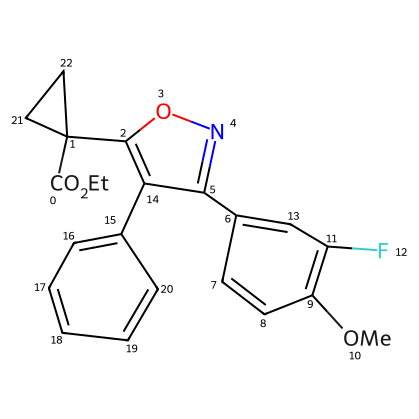 CCOC(=O)C1(c2onc(-c3ccc(OC)c(F)c3)c2-c2ccccc2)CC1